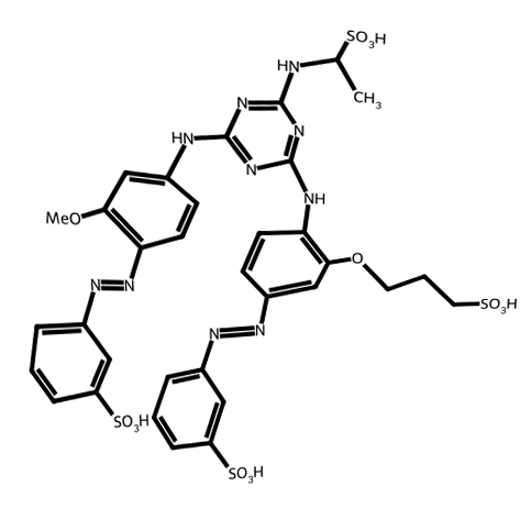 COc1cc(Nc2nc(Nc3ccc(N=Nc4cccc(S(=O)(=O)O)c4)cc3OCCCS(=O)(=O)O)nc(NC(C)S(=O)(=O)O)n2)ccc1N=Nc1cccc(S(=O)(=O)O)c1